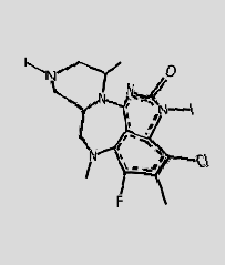 Cc1c(F)c2c3c(nc(=O)n(I)c3c1Cl)N1C(C)CN(I)CC1CN2C